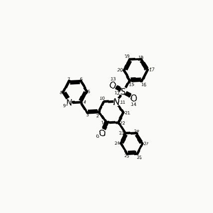 O=C1C(=Cc2ccccn2)CN(S(=O)(=O)c2ccccc2)CC1c1ccccc1